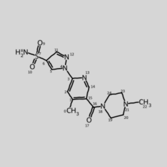 Cc1cc(-n2cc(S(N)(=O)=O)cn2)ncc1C(=O)N1CCN(C)CC1